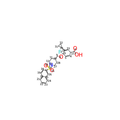 O=C(O)C1C=CC(F)(OCC2CCN(S(=O)(=O)c3ccc4ccccc4c3)CC2)C(C2CC2)=C1